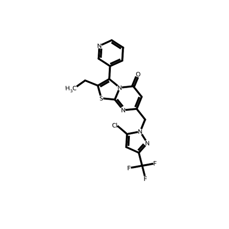 CCc1sc2nc(Cn3nc(C(F)(F)F)cc3Cl)cc(=O)n2c1-c1cccnc1